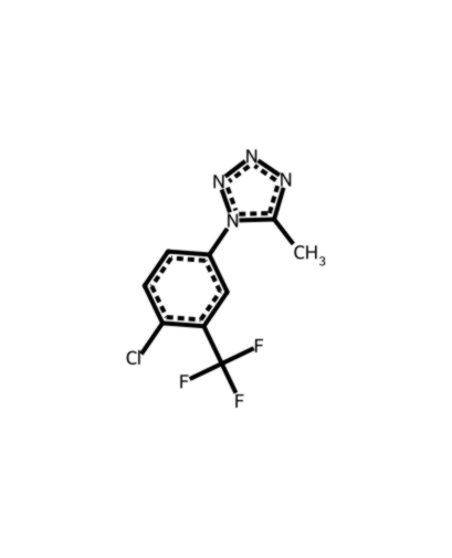 Cc1nnnn1-c1ccc(Cl)c(C(F)(F)F)c1